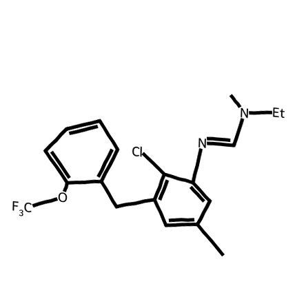 CCN(C)C=Nc1cc(C)cc(Cc2ccccc2OC(F)(F)F)c1Cl